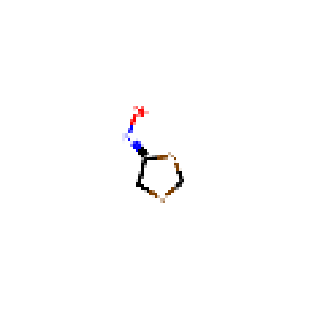 ON=C1CS[CH]S1